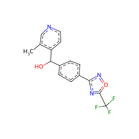 Cc1cnccc1C(O)c1ccc(-c2noc(C(F)(F)F)n2)cc1